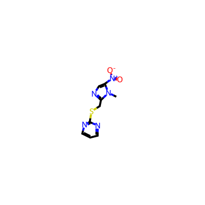 Cn1c([N+](=O)[O-])cnc1CSc1ncccn1